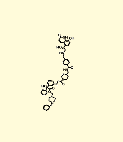 O=C(NCC1CCN(C(=O)COc2cccc([C@](O)(C(=O)OCC3CCN(Cc4ccccc4)CC3)c3ccccc3)c2)CC1)c1ccc(CCNC[C@H](O)c2ccc(O)c3[nH]c(=O)ccc23)cc1